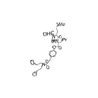 CSCCC(NC=O)C(=O)NC(CC(C)C)C(=O)Oc1ccc(COC(=O)N(CCCl)CCCl)cc1